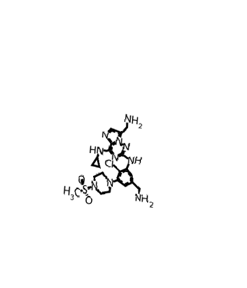 CS(=O)(=O)N1CCN(c2cc(CN)cc(Nc3nc(NC4CC4)c4ncc(CN)n4n3)c2Cl)CC1